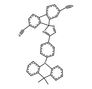 CC1(C)c2ccccc2N(c2ccc(C3=NC4(N=C3)c3cc(C#N)ccc3-c3ccc(C#N)cc34)cc2)c2ccccc21